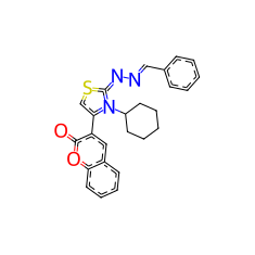 O=c1oc2ccccc2cc1-c1csc(=NN=Cc2ccccc2)n1C1CCCCC1